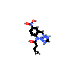 CCCC(=O)Nc1ccc([N+](=O)[O-])cc1Cn1ncnn1